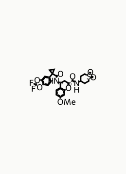 COc1ccc2c(c1)O[C@@H](C(=O)NC1CCS(=O)(=O)CC1)C[C@@H]2NC(=O)C1(c2ccc3c(c2)OC(F)(F)O3)CC1